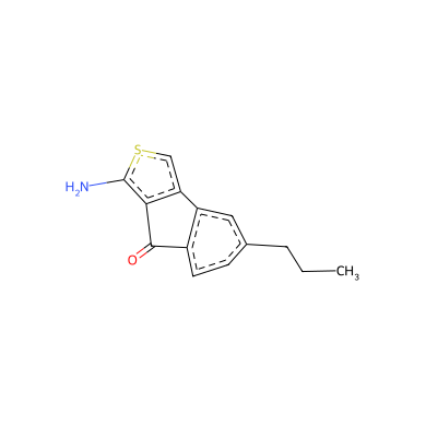 CCCc1ccc2c(c1)-c1csc(N)c1C2=O